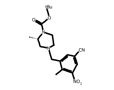 Cc1c(CN2CCN(C(=O)OC(C)(C)C)[C@@H](C)C2)cc(C#N)cc1[N+](=O)[O-]